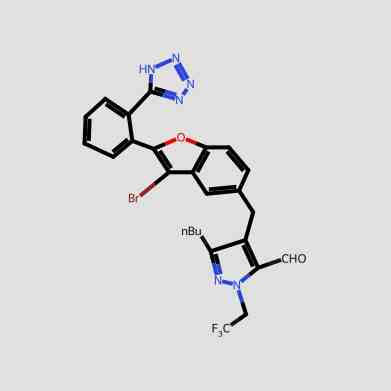 CCCCc1nn(CC(F)(F)F)c(C=O)c1Cc1ccc2oc(-c3ccccc3-c3nnn[nH]3)c(Br)c2c1